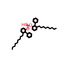 CCCCCCCCCc1cccc(OP(O)Oc2cccc(CCCCCCCCC)c2-c2ccccc2)c1-c1ccccc1